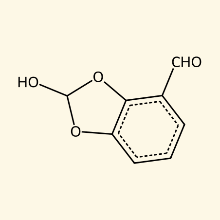 O=Cc1cccc2c1OC(O)O2